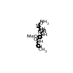 COc1cc(Nc2ncc(-c3csc(CON)c3)n3ncnc23)ccc1C(=O)NCc1ccc(C)nc1